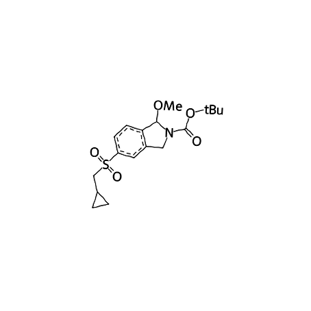 COC1c2ccc(S(=O)(=O)CC3CC3)cc2CN1C(=O)OC(C)(C)C